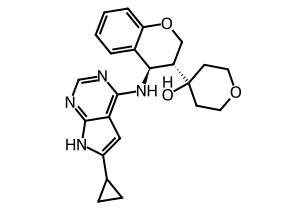 OC1([C@H]2COc3ccccc3[C@@H]2Nc2ncnc3[nH]c(C4CC4)cc23)CCOCC1